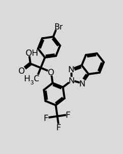 CC(Oc1ccc(C(F)(F)F)cc1-n1nc2ccccc2n1)(C(=O)O)c1ccc(Br)cc1